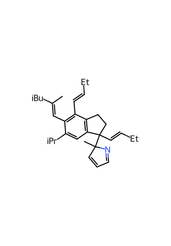 CC/C=C/c1c(/C=C(\C)C(C)CC)c(C(C)C)cc2c1CCC2(/C=C/CC)C1(C)C=CC=N1